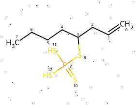 C=CCC(CCCC)SP(=S)(S)S